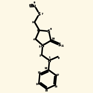 CN(CN1CC(CSC(C)(C)C)SC1=S)c1ccccc1